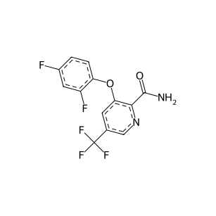 NC(=O)c1ncc(C(F)(F)F)cc1Oc1ccc(F)cc1F